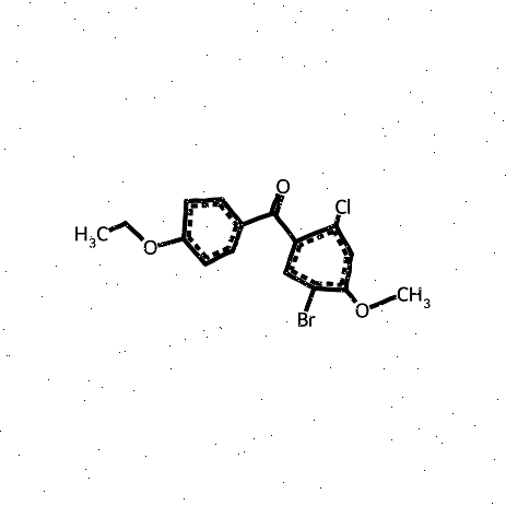 CCOc1ccc(C(=O)c2cc(Br)c(OC)cc2Cl)cc1